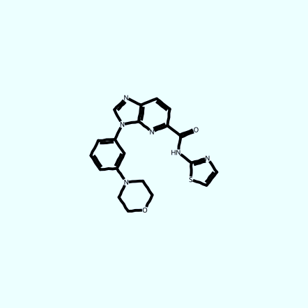 O=C(Nc1nccs1)c1ccc2ncn(-c3cccc(N4CCOCC4)c3)c2n1